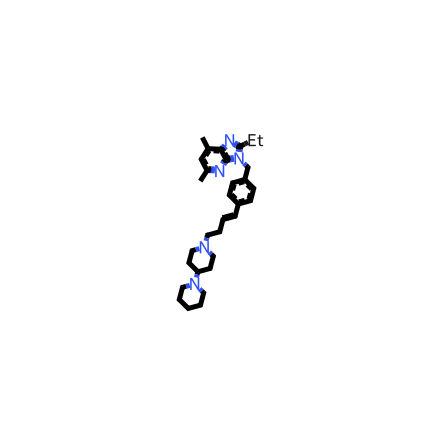 CCc1nc2c(C)cc(C)nc2n1Cc1ccc(C=CCCN2CCC(N3CCCCC3)CC2)cc1